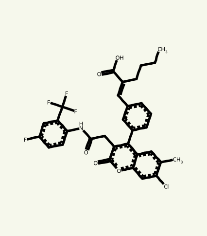 CCCC/C(=C\c1cccc(-c2c(CC(=O)Nc3ccc(F)cc3C(F)(F)F)c(=O)oc3cc(Cl)c(C)cc23)c1)C(=O)O